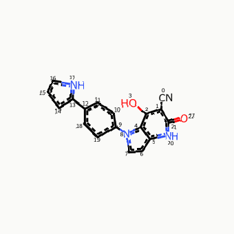 N#Cc1c(O)c2c(ccn2-c2ccc(-c3ccc[nH]3)cc2)[nH]c1=O